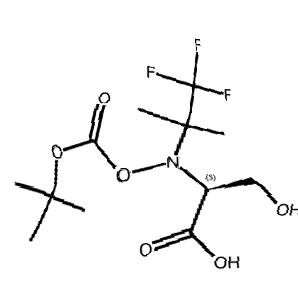 CC(C)(C)OC(=O)ON([C@@H](CO)C(=O)O)C(C)(C)C(F)(F)F